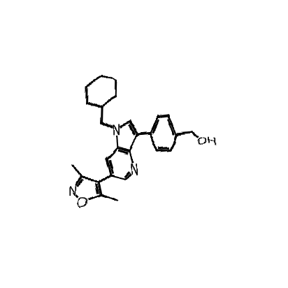 Cc1noc(C)c1-c1cnc2c(-c3ccc(CO)cc3)cn(CC3CCCCC3)c2c1